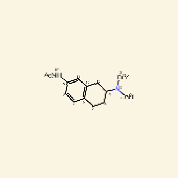 CCCN(CCC)C1CCc2ccc(NC(C)=O)cc2C1